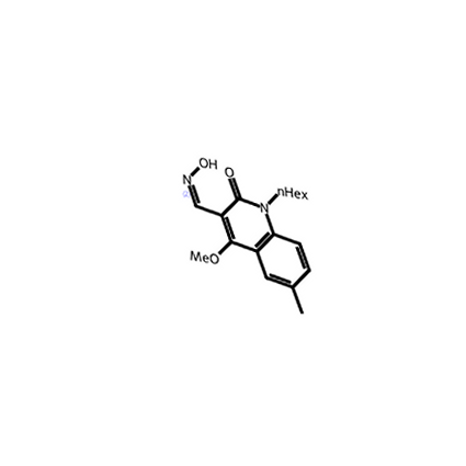 CCCCCCn1c(=O)c(/C=N\O)c(OC)c2cc(C)ccc21